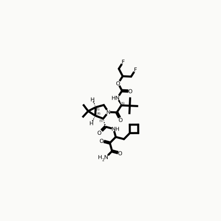 CC(C)(C)[C@H](NC(=O)OC(CF)CF)C(=O)N1C[C@H]2[C@@H]([C@H]1C(=O)NC(CC1CCC1)C(=O)C(N)=O)C2(C)C